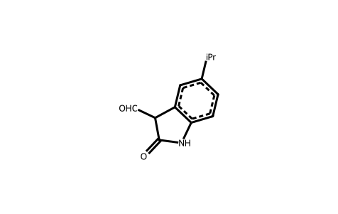 CC(C)c1ccc2c(c1)C(C=O)C(=O)N2